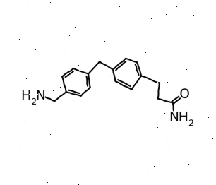 NCc1ccc(Cc2ccc(CCC(N)=O)cc2)cc1